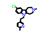 Cc1ccc(CCn2c3c(c4cc(Cl)ccc42)CCN(C)CC3)cn1